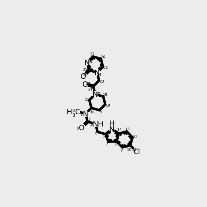 CN(C(=O)NCc1cc2cc(Cl)ccc2[nH]1)C1CCCN(C(=O)Cn2cccnc2=O)C1